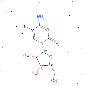 Nc1nc(=O)n([C@@H]2O[C@H](CO)[C@H](O)C2O)cc1I